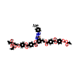 C=CC(=O)OCOc1ccc(OC(=O)C2CCC(C(=O)OCCc3ccc(OC(=O)C4CCC(C(=O)Oc5ccc(OCC(COC(=O)C=C)OC(=O)C=C)cc5)CC4)c4nc(/N=N/c5ccc(C#N)cc5)sc34)CC2)cc1